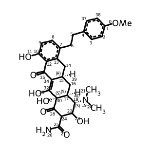 COc1ccc(CCc2ccc(O)c3c2C[C@H]2C[C@H]4[C@H](N(C)C)C(O)C(C(N)=O)C(=O)[C@@]4(O)C(O)=C2C3=O)cc1